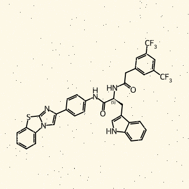 O=C(Cc1cc(C(F)(F)F)cc(C(F)(F)F)c1)N[C@@H](Cc1c[nH]c2ccccc12)C(=O)Nc1ccc(-c2cn3c(n2)sc2ccccc23)cc1